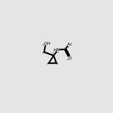 CC(=O)C(=O)NC1(CO)CC1